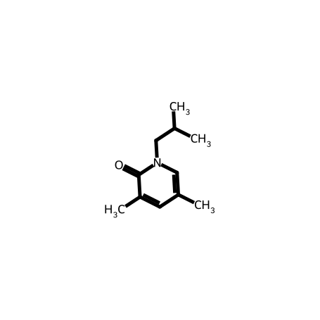 Cc1cc(C)c(=O)n(CC(C)C)c1